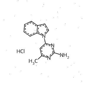 Cc1cc(-n2ccc3ccccc32)nc(N)n1.Cl